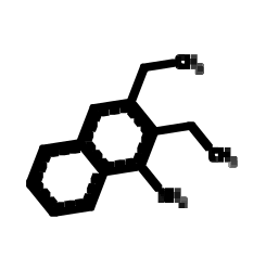 CCc1cc2ccccc2c(N)c1CC